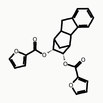 O=C(O[C@@H]1C2CC(C3c4ccccc4CC32)[C@@H]1OC(=O)c1ccco1)c1ccco1